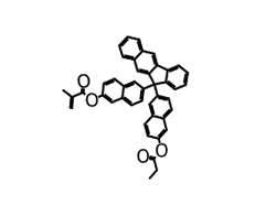 C=C(C)C(=O)Oc1ccc2cc(C3(c4ccc5cc(OC(=O)CC)ccc5c4)c4ccccc4-c4cc5ccccc5cc43)ccc2c1